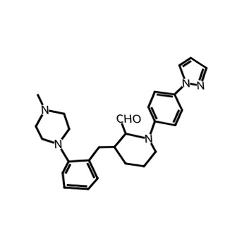 CN1CCN(c2ccccc2CC2CCCN(c3ccc(-n4cccn4)cc3)C2C=O)CC1